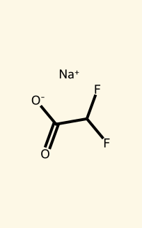 O=C([O-])C(F)F.[Na+]